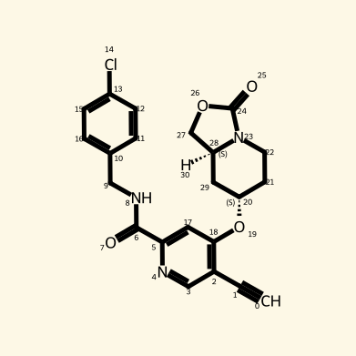 C#Cc1cnc(C(=O)NCc2ccc(Cl)cc2)cc1O[C@H]1CCN2C(=O)OC[C@@H]2C1